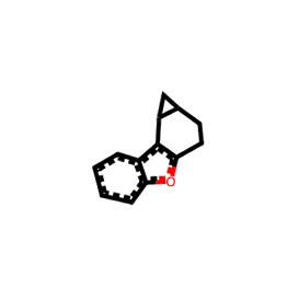 c1ccc2c3c(oc2c1)CCC1CC31